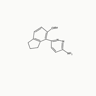 COc1ccc2c(c1-c1ccc(N)nn1)CCC2